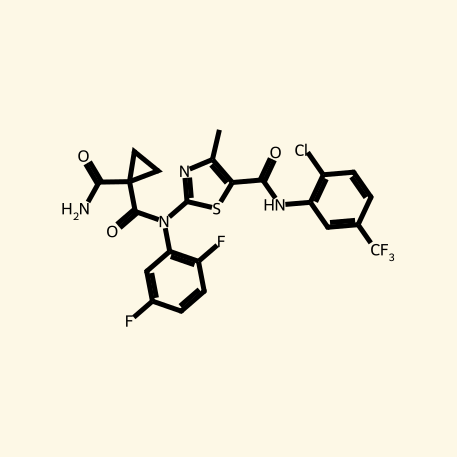 Cc1nc(N(C(=O)C2(C(N)=O)CC2)c2cc(F)ccc2F)sc1C(=O)Nc1cc(C(F)(F)F)ccc1Cl